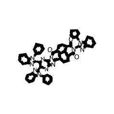 O=C1c2ccc3c(=O)n4c5nc(-c6nc7ccccc7n6-c6ccccc6)c(-c6nc7ccccc7n6-c6ccccc6)nc5nc4c4ccc(c2c34)C(=O)N1c1nc2ccccc2n1-c1ccccc1